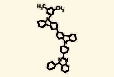 Cc1cc(C)cc(-n2c3ccccc3c3cc(-c4ccc5c(c4)c4ccccc4n5-c4ccc(-c5nc(-c6ccccc6)c6ccccc6n5)cc4)ccc32)c1